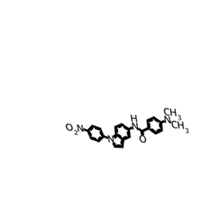 CN(C)c1ccc(C(=O)Nc2ccc3c(ccn3-c3ccc([N+](=O)[O-])cc3)c2)cc1